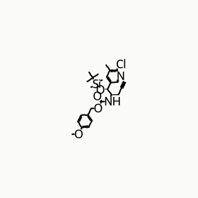 C#CC[C@@H](NC(=O)OCc1ccc(OC)cc1)[C@H](O[Si](C)(C)C(C)(C)C)c1cnc(Cl)c(C)c1